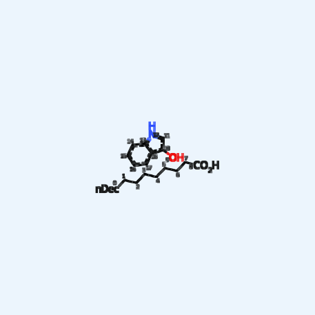 CCCCCCCCCCCCCCCCCC(=O)O.Oc1c[nH]c2ccccc12